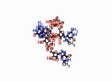 CO[C@H]1C(OP(=O)(O)OC[C@H]2O[C@@H](n3cnc4c(N)ncnc43)[C@@H](O)C2OP(=O)(O)OC[C@H]2O[C@@H](n3cnc4c(=O)[nH]c(C)nc43)[C@@H](O)C2O)[C@@H](COP(=O)(O)OP(=O)([O-])OP(=O)(O)OC[C@H]2O[C@@H](n3c[n+](C)c4c(=O)[nH]c(N)nc43)C(O)C2O)O[C@H]1n1cnc2c(=O)[nH]c(N)nc21